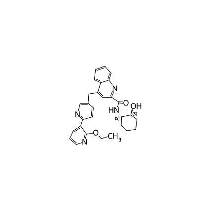 CCOc1ncccc1-c1ccc(Cc2cc(C(=O)N[C@H]3CCCC[C@@H]3O)nc3ccccc23)cn1